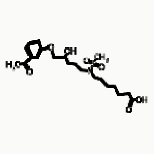 CC(=O)c1cccc(OCC(O)CCCN(CCCCCCC(=O)O)S(C)(=O)=O)c1